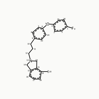 Fc1ccc(Oc2ccc(CCCN3Cc4cccc(I)c4C3)cc2)cc1